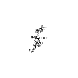 O=C(CSC(F)(F)F)NC1C(=O)N2C(C(=O)[O-])=C(CSc3nnc(CS(=O)(=O)[O-])o3)CS[C@@H]12.[Na+].[Na+]